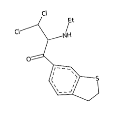 CCNC(C(=O)c1ccc2c(c1)SCC2)C(Cl)Cl